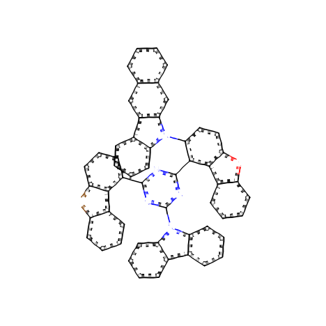 c1ccc2cc3c(cc2c1)c1ccccc1n3-c1ccc2oc3ccccc3c2c1-c1nc(-c2cccc3sc4ccccc4c23)nc(-n2c3ccccc3c3ccccc32)n1